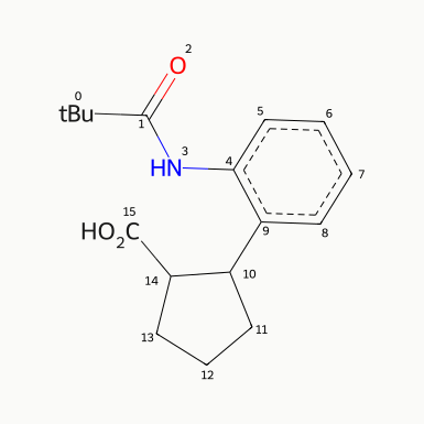 CC(C)(C)C(=O)Nc1ccccc1C1CCCC1C(=O)O